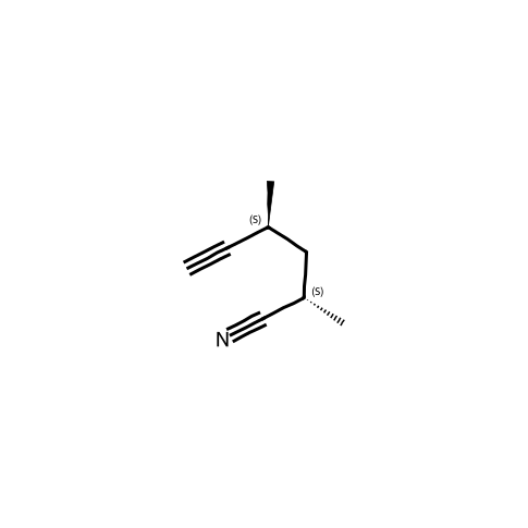 C#C[C@@H](C)C[C@H](C)C#N